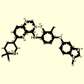 Cc1c(Oc2ccc3c(c2)ncn3C)ccc(Nc2ncnc3ccc(C4CCC(C)(C)NC4)nc23)c1F